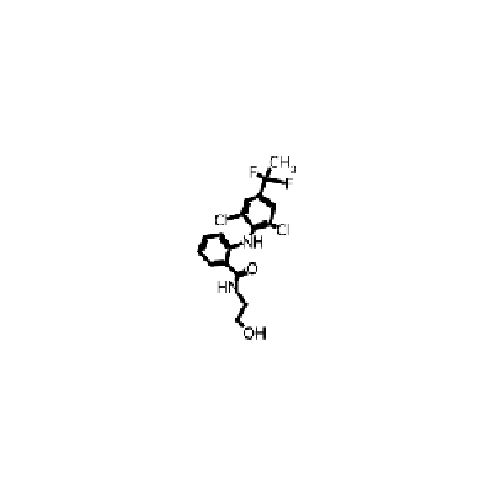 CC(F)(F)c1cc(Cl)c(Nc2ccccc2C(=O)NCCO)c(Cl)c1